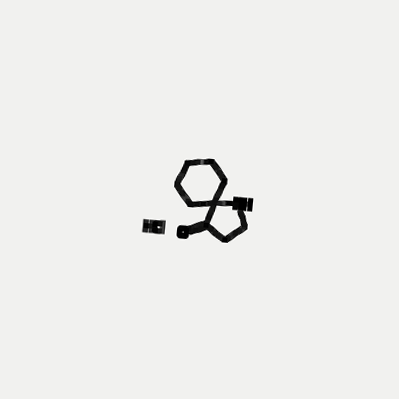 Cl.O=C1CCNC12CCCCC2